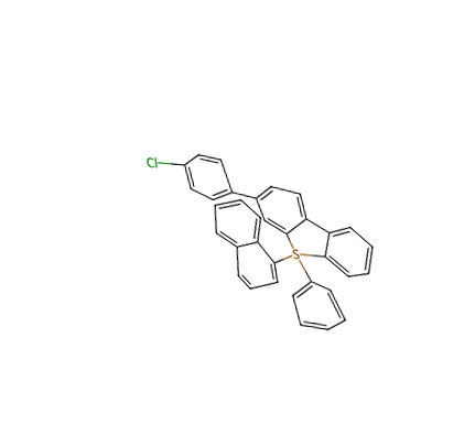 Clc1ccc(-c2ccc3c(c2)S(c2ccccc2)(c2cccc4ccccc24)c2ccccc2-3)cc1